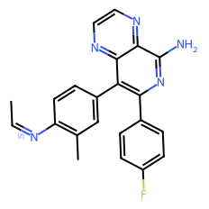 C/C=N\c1ccc(-c2c(-c3ccc(F)cc3)nc(N)c3nccnc23)cc1C